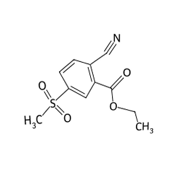 CCOC(=O)c1cc(S(C)(=O)=O)ccc1C#N